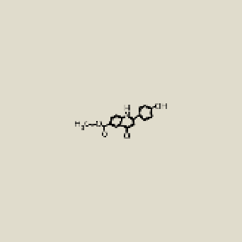 CCOC(=O)c1ccc2[nH]c(-c3ccc(O)cc3)cc(=O)c2c1